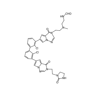 CN(CCNC=O)CCn1cnn2cc(-c3cccc(-c4cccc(-c5cc6c(=O)n(CCN7CCNC7=O)cnn6c5)c4Cl)c3Cl)cc2c1=O